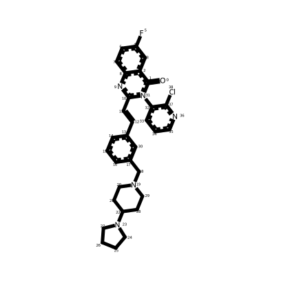 O=c1c2cc(F)ccc2nc(/C=C/c2cccc(CN3CCC(N4CCCC4)CC3)c2)n1-c1cccnc1Cl